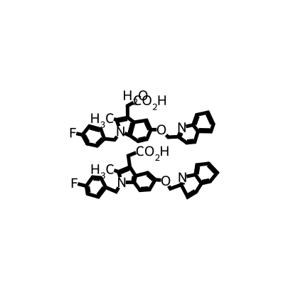 Cc1c(CC(=O)O)c2cc(OCc3ccc4ccccc4n3)ccc2n1Cc1ccc(F)cc1.Cc1c(CC(=O)O)c2cc(OCc3ccc4ccccc4n3)ccc2n1Cc1ccc(F)cc1.O